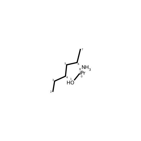 CC(C)O.CCCCCC.N